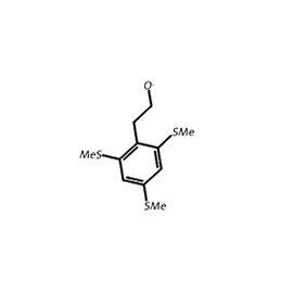 CSc1cc(SC)c(CC[O])c(SC)c1